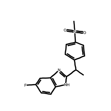 CC(c1ccc(S(C)(=O)=O)cc1)c1nc2cc(F)ccc2[nH]1